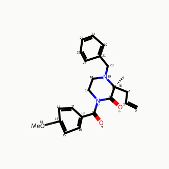 C=CC[C@@]1(C)C(=O)N(C(=O)c2ccc(OC)cc2)CCN1Cc1ccccc1